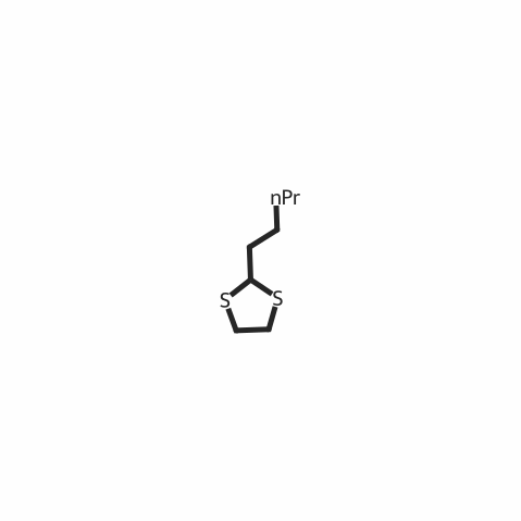 [CH2]CCCCC1SCCS1